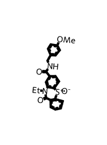 CCN1C(=O)c2ccccc2[S@+]([O-])c2ccc(C(=O)NCc3ccc(OC)cc3)cc21